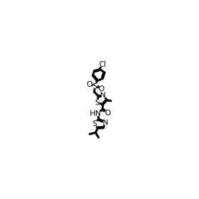 Cc1nc(CS(=O)(=O)c2ccc(Cl)cc2)sc1C(=O)Nc1ncc(C(C)C)s1